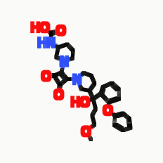 COCCC[C@@](O)(c1ccccc1Oc1ccccc1)C1CCCN(c2c(N3CCCC(NC(=O)O)C3)c(=O)c2=O)C1